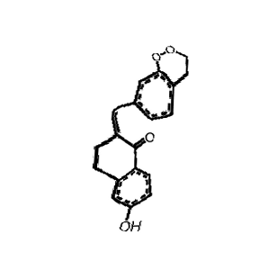 O=C1C(=Cc2ccc3c(c2)OOCC3)CCc2cc(O)ccc21